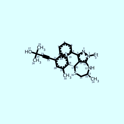 CCn1nc(-c2ccccn2)c2c1N[C@@H](C)CS[C@@H]2c1ccc(C#CC(C)(C)O)cc1C